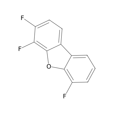 Fc1ccc2c(oc3c(F)cccc32)c1F